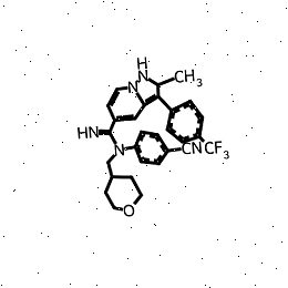 CC1NN2C=CC(C(=N)N(CC3CCOCC3)c3ccc(C#N)cc3)=CC2=C1c1ccc(C(F)(F)F)cc1